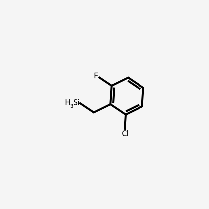 Fc1cccc(Cl)c1C[SiH3]